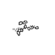 CC1(C)c2ccccc2-c2ccc(-c3cc(-c4ccc5cc(-c6ccccc6)nnc5c4)cc(-n4c5ccccc5c5ccccc54)c3)cc21